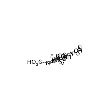 O=C(O)CCCCCN1CCC2(CC1)CCN(CCC(CSc1ccccc1)Nc1ccc(S(=O)(=O)NC(=O)c3ccc(N4CCC(C(O)c5ccccc5-c5ccc(Cl)cc5)CC4)cc3)cc1S(=O)(=O)C(F)(F)F)CC2